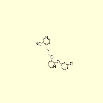 N#Cc1cnccc1CCCOc1cccnc1Oc1cccc(Cl)c1